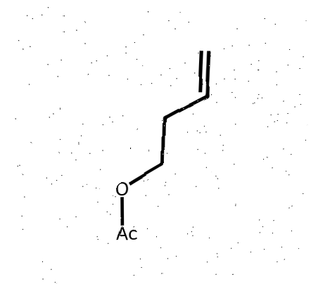 [CH2]C(=O)OCCC=C